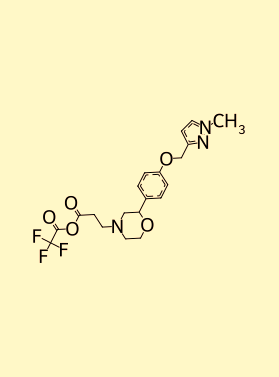 Cn1ccc(COc2ccc(C3CN(CCC(=O)OC(=O)C(F)(F)F)CCO3)cc2)n1